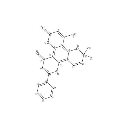 CCCc1[c]c(=O)oc2c1c1c(c3oc(-c4ccccc4)cc(=O)c32)C=CC(C)(C)O1